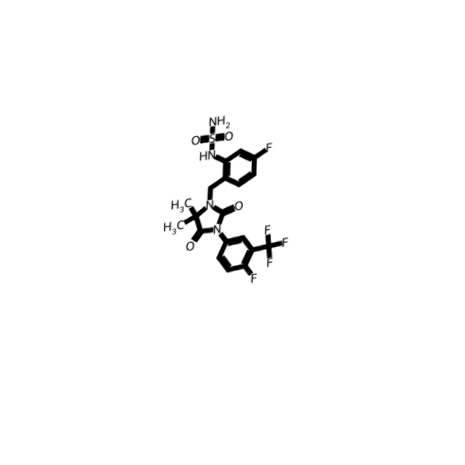 CC1(C)C(=O)N(c2ccc(F)c(C(F)(F)F)c2)C(=O)N1Cc1ccc(F)cc1NS(N)(=O)=O